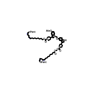 CCCCC/C=C\C/C=C\CCCCCCCCOC(=O)N1CCC(c2cn(COc3ccc4[nH]cc(C5CCN(C(=O)OCOC(=O)CCCCCCC/C=C\C/C=C\CCCCC)CC5)c4c3)c3ccc(OC)cc23)CC1